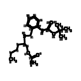 CCCCC(COC(N)=O)SCc1cnccc1SC(=O)OC(C)(C)C